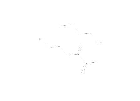 C=C(C)C(=O)OCCO.CCCCOCCO